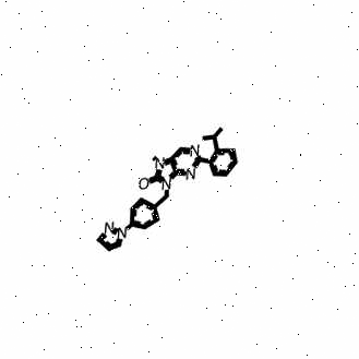 CC(C)c1ccccc1-c1ncc2c(n1)n(Cc1ccc(-n3cccn3)cc1)c(=O)n2C